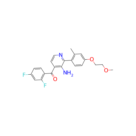 COCCOc1ccc(-c2nccc(C(=O)c3ccc(F)cc3F)c2N)c(C)c1